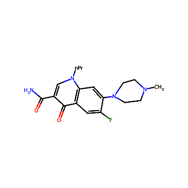 CCCn1cc(C(N)=O)c(=O)c2cc(F)c(N3CCN(C)CC3)cc21